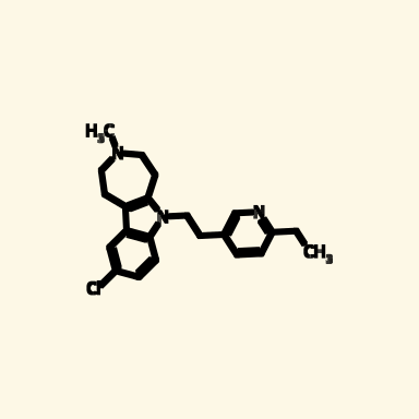 CCc1ccc(CCn2c3c(c4cc(Cl)ccc42)CCN(C)CC3)cn1